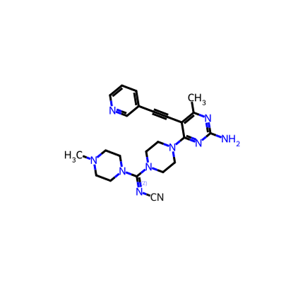 Cc1nc(N)nc(N2CCN(/C(=N\C#N)N3CCN(C)CC3)CC2)c1C#Cc1cccnc1